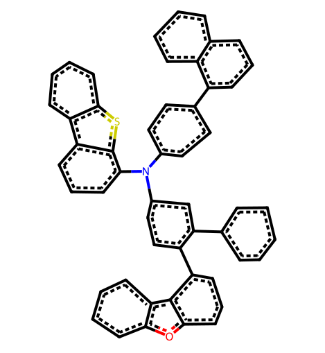 c1ccc(-c2cc(N(c3ccc(-c4cccc5ccccc45)cc3)c3cccc4c3sc3ccccc34)ccc2-c2cccc3oc4ccccc4c23)cc1